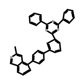 Cc1cc2c(-c3ccc(-c4cccc(-c5nc(-c6ccccc6)nc(-c6ccccc6)n5)c4)cc3)cccc2cn1